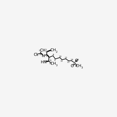 C=CC(/N=C(\C)Cl)=C(\CCCCCCCS(C)(=O)=O)C(C)=N